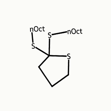 CCCCCCCCSC1(SCCCCCCCC)CCCS1